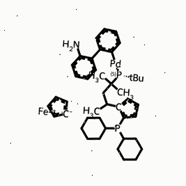 CC(CC(C)(C)[P@]([Pd][c]1ccccc1-c1ccccc1N)C(C)(C)C)[c-]1cccc1P(C1CCCCC1)C1CCCCC1.[Fe+2].c1cc[cH-]c1